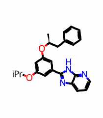 CC(C)Oc1cc(O[C@@H](C)Cc2ccccc2)cc(-c2nc3cccnc3[nH]2)c1